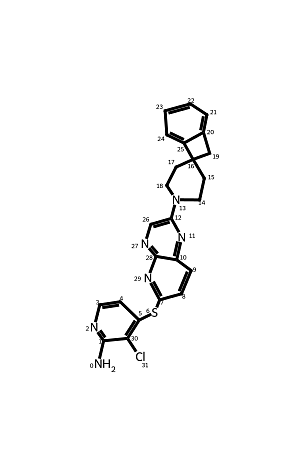 Nc1nccc(Sc2ccc3nc(N4CCC5(CC4)Cc4ccccc45)cnc3n2)c1Cl